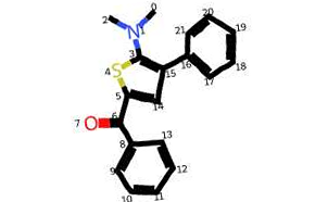 CN(C)c1sc(C(=O)c2ccccc2)cc1-c1ccccc1